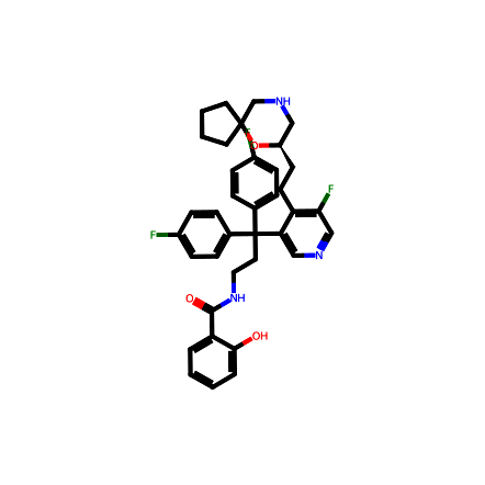 O=C(NCCC(c1ccc(F)cc1)(c1ccc(F)cc1)c1cncc(F)c1CC[C@@H]1CNCC2(CCCC2)O1)c1ccccc1O